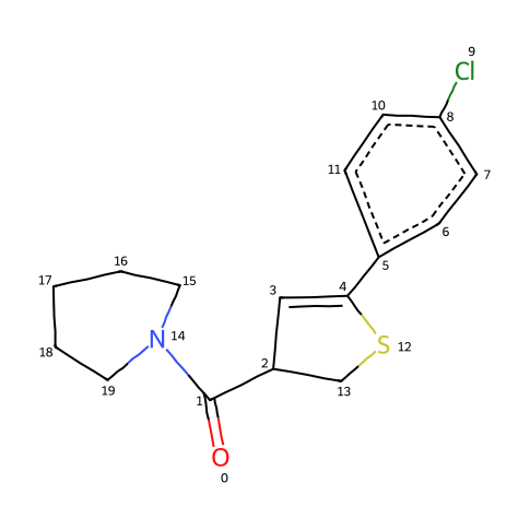 O=C(C1C=C(c2ccc(Cl)cc2)SC1)N1CCCCC1